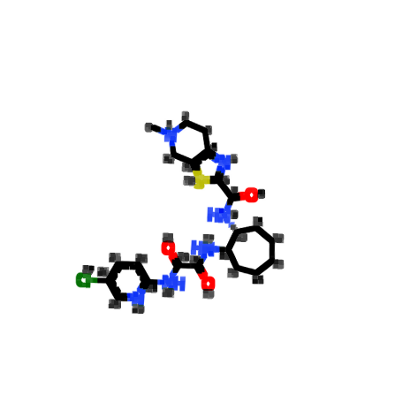 CN1CCc2nc(C(=O)N[C@@H]3CCCCC[C@H]3NC(=O)C(=O)Nc3ccc(Cl)cn3)sc2C1